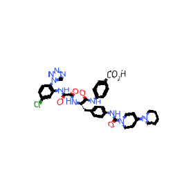 O=C(Nc1cc(Cl)ccc1-n1cnnn1)C(=O)N[C@@H](Cc1ccc(NC(=O)N2CCC(N3CCCCC3)CC2)cc1)C(=O)Nc1ccc(C(=O)O)cc1